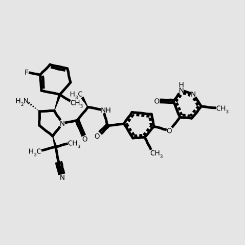 Cc1cc(Oc2ccc(C(=O)N[C@H](C)C(=O)N3[C@H](C4(C)C=C(F)C=CC4)[C@@H](N)C[C@@H]3C(C)(C)C#N)cc2C)c(=O)[nH]n1